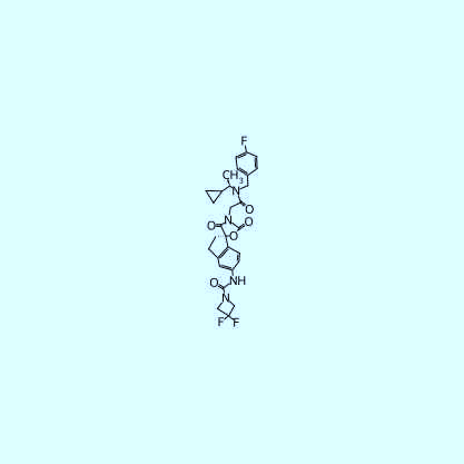 C[C@H](C1CC1)N(Cc1ccc(F)cc1)C(=O)CN1C(=O)O[C@]2(CCc3cc(NC(=O)N4CC(F)(F)C4)ccc32)C1=O